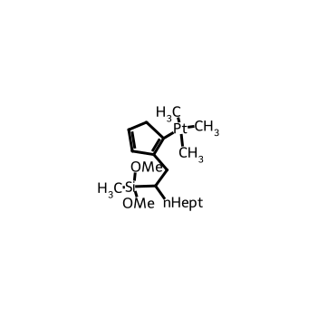 CCCCCCCC(CC1=[C]([Pt]([CH3])([CH3])[CH3])CC=C1)[Si](C)(OC)OC